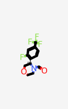 O=CN1CCOC[C@@H]1c1ccc(C(F)(F)F)cc1F